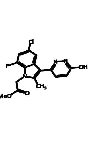 COC(=O)Cn1c(C)c(-c2ccc(O)nn2)c2cc(Cl)cc(F)c21